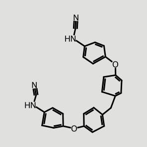 N#CNc1ccc(Oc2ccc(Cc3ccc(Oc4ccc(NC#N)cc4)cc3)cc2)cc1